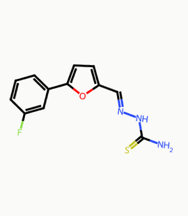 NC(=S)NN=Cc1ccc(-c2cccc(F)c2)o1